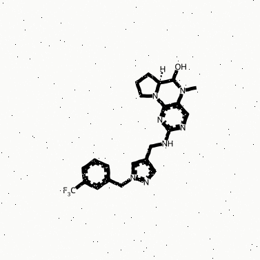 CN1c2cnc(NCc3cnn(Cc4cccc(C(F)(F)F)c4)c3)nc2N2CCC[C@H]2C1O